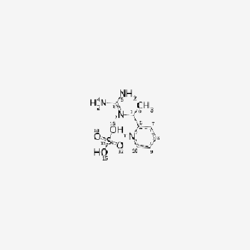 CC(N=C(N)N)c1ccccn1.O=S(=O)(O)O